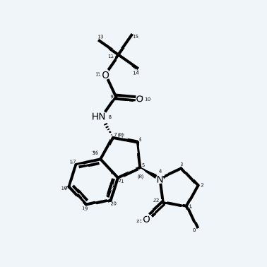 CC1CCN([C@@H]2C[C@@H](NC(=O)OC(C)(C)C)c3ccccc32)C1=O